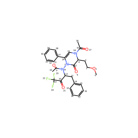 COCCC1C(=O)N(N(C(C)=O)C(Cc2ccccc2)C(=O)C(F)(F)F)C(c2ccccc2)=CN1C(C)=O